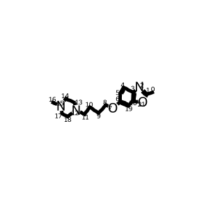 Cc1nc2ccc(OCCCCN3CCN(C)CC3)cc2o1